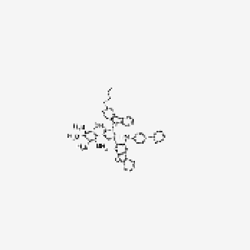 Bc1c(B)c(B)c(-c2cc(-c3cc4oc5ccccc5c4cc3Nc3ccc(-c4ccccc4)cc3)cc(-n3c4ccccc4c4cc(CCCC)ccc43)c2)c(B)c1B